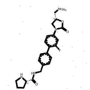 CC(=O)NC[C@H]1CN(c2ccc(-c3ccc(CNC(=O)[C@@H]4CCCN4)cc3)c(F)c2)C(=O)O1